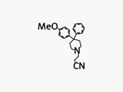 COc1ccc(C2(c3ccccc3)CCN(CCC#N)CC2)cc1